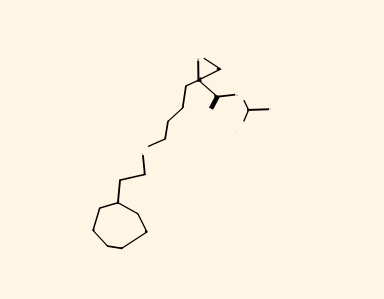 CC(C)OC(=O)C1(CCCCOCCC2CCCCCC2)CO1